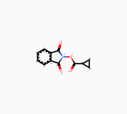 O=C(ON1C(=O)c2ccccc2C1=O)C1CC1